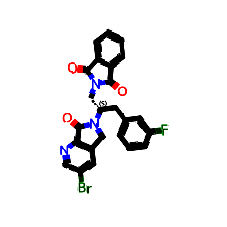 O=C1c2ccccc2C(=O)N1C[C@H](Cc1cccc(F)c1)N1Cc2cc(Br)cnc2C1=O